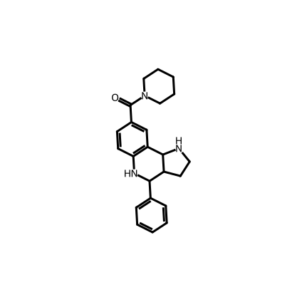 O=C(c1ccc2c(c1)C1NCCC1C(c1ccccc1)N2)N1CCCCC1